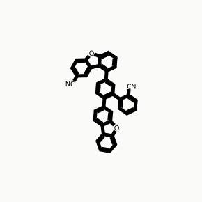 N#Cc1ccc2oc3cccc(-c4ccc(-c5ccc6c(c5)oc5ccccc56)c(-c5ccccc5C#N)c4)c3c2c1